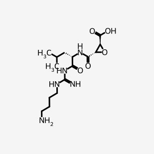 CC(C)C[C@H](NC(=O)[C@H]1O[C@@H]1C(=O)O)C(=O)NC(=N)NCCCCN